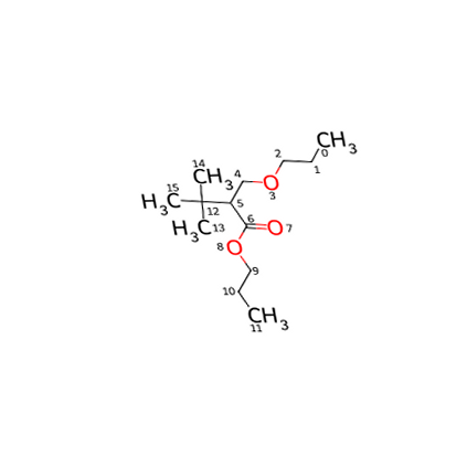 CCCOCC(C(=O)OCCC)C(C)(C)C